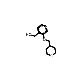 OCc1ccncc1OCC1CCOCC1